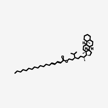 CCCCCCCCCCCCCC=CC=CC(=O)OCC[C@H](CC[C@@H](C)[C@H]1CC[C@H]2[C@@H]3CCC4CCCC[C@]4(C)[C@H]3CC[C@]12C)C(C)C